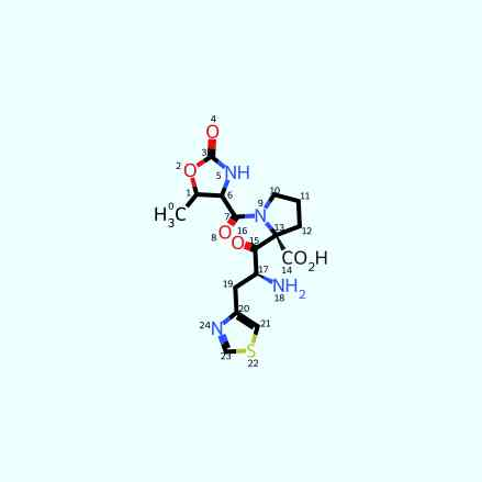 CC1OC(=O)NC1C(=O)N1CCC[C@]1(C(=O)O)C(=O)[C@@H](N)Cc1cscn1